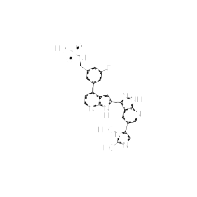 Cc1ncc(-c2cnc3[nH]nc(-c4cc5c(-c6cc(F)cc(CNS(C)(=O)=O)c6)ccnc5[nH]4)c3c2)n1C